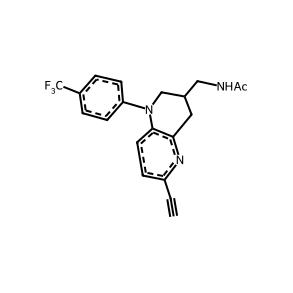 C#Cc1ccc2c(n1)CC(CNC(C)=O)CN2c1ccc(C(F)(F)F)cc1